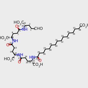 O=CCC[C@H](NC(=O)CC[C@H](NC(=O)CC[C@H](NC(=O)CC[C@H](NC(=O)CCCCCCCCCCCCCCC(=O)O)C(=O)O)C(=O)O)C(=O)O)C(=O)O